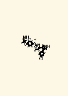 CC(C)(CN)Oc1ccc(Nc2nccc(-c3c[nH]nc3-c3ccc(Cl)cc3)n2)cc1